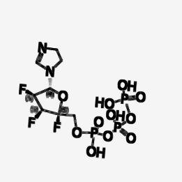 O=P(O)(O)OP(=O)(O)OP(=O)(O)OC[C@@]1(F)O[C@@H](N2C=NCC2)[C@H](F)[C@@H]1F